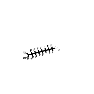 CCCCCC(Br)C(F)(F)C(F)(F)C(F)(F)C(F)(F)C(F)(F)C(F)(F)C(F)(F)C(F)(F)F